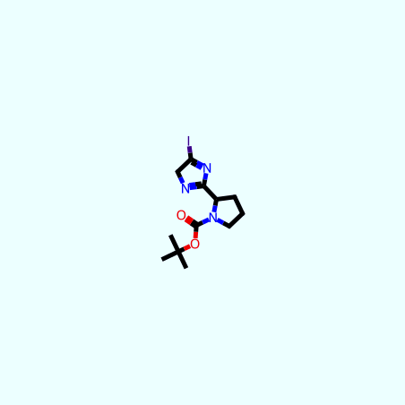 CC(C)(C)OC(=O)N1CCCC1C1=NCC(I)=N1